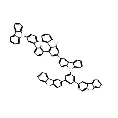 c1ccc2c(c1)oc1ccc(-c3cc(-c4ccc5oc6ccccc6c5c4)cc(-n4c5ccccc5c5cc(-c6cc(-c7cccc8c7oc7ccc(-n9c%10ccccc%10c%10ccccc%109)cc78)c7c(c6)oc6ccccc67)ccc54)c3)cc12